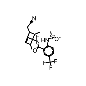 CC1C=C2C(CC#N)C(C)C21NC(=O)c1cc(C(F)(F)F)ccc1N[S+](C)[O-]